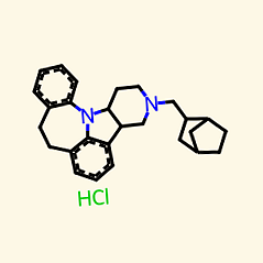 Cl.c1ccc2c(c1)CCc1cccc3c1N2C1CCN(CC2CC4CCC2C4)CC31